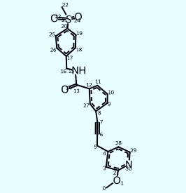 COc1cc(CC#Cc2cccc(C(=O)NCc3ccc(S(C)(=O)=O)cc3)c2)ccn1